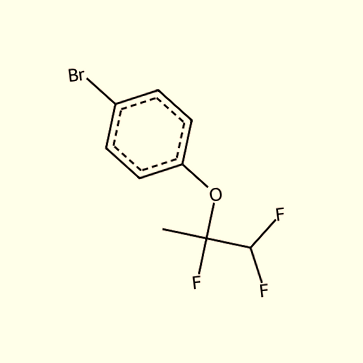 CC(F)(Oc1ccc(Br)cc1)C(F)F